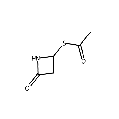 CC(=O)SC1CC(=O)N1